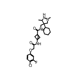 CC1NN(C)CC1(CNC(=O)C12CC(NC(=O)COc3ccc(Cl)c(F)c3)(C1)C2)C1CCCCC1